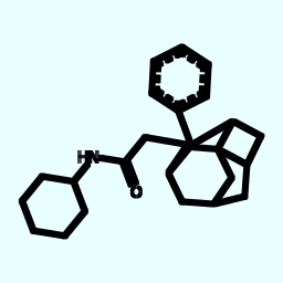 O=C(CC1(c2ccccc2)C2CC3CC4CC1C4(C3)C2)NC1CCCCC1